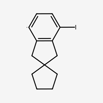 Ic1cc[c]c2c1CC1(CCCC1)C2